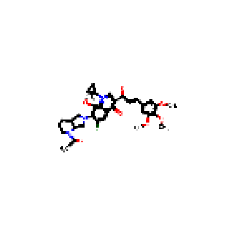 COc1cc(C=CC(=O)c2cn(C3CC3)c3c(OC)c(N4CC5CCCN(C(C)=O)C5C4)c(F)cc3c2=O)cc(OC)c1OC